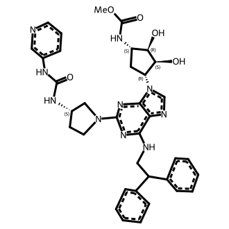 COC(=O)N[C@H]1C[C@@H](n2cnc3c(NCC(c4ccccc4)c4ccccc4)nc(N4CC[C@H](NC(=O)Nc5cccnc5)C4)nc32)[C@H](O)[C@@H]1O